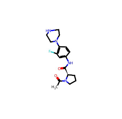 CC(=O)N1CCC[C@@H]1C(=O)Nc1ccc(N2CCNCC2)c(F)c1